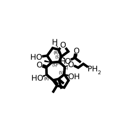 CC(=O)O[C@@]12CO[C@@H]1CC(O)[C@@]1(C)C(=O)[C@H](O)C3=C(C)CC[C@@](O)([C@@H](OCCP)[C@H]21)C3(C)C